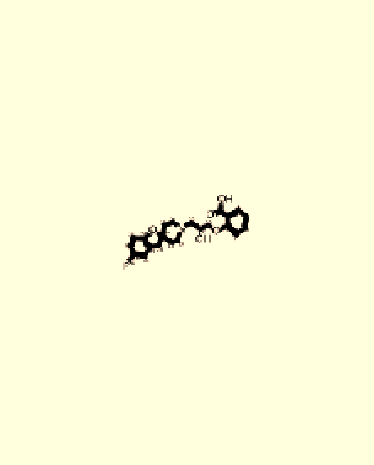 O=C(O)c1ccccc1OC[C@H](O)CN1CCC2(CC1)Cc1cc(F)ccc1O2